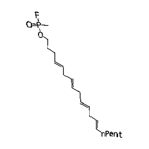 CCCCCC=CCC=CCC=CCC=CCCCOP(C)(=O)F